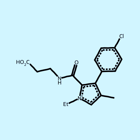 CCn1cc(C)c(-c2ccc(Cl)cc2)c1C(=O)NCCC(=O)O